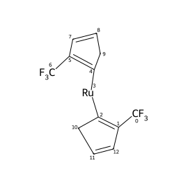 FC(F)(F)C1=[C]([Ru][C]2=C(C(F)(F)F)C=CC2)CC=C1